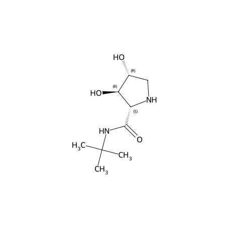 CC(C)(C)NC(=O)[C@H]1NC[C@@H](O)[C@@H]1O